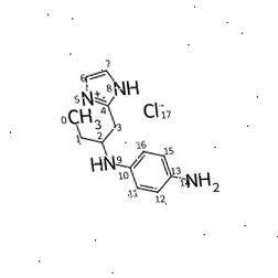 CCC(CC1=[N+]C=CN1)Nc1ccc(N)cc1.[Cl-]